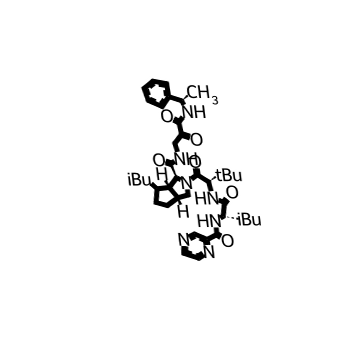 CCC(C)C1CC[C@H]2CN(C(=O)[C@@H](NC(=O)[C@@H](NC(=O)c3cnccn3)C(C)CC)C(C)(C)C)[C@H](C(=O)NCC(=O)C(=O)N[C@@H](C)c3ccccc3)[C@@H]12